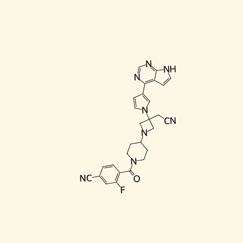 N#CCC1(n2ccc(-c3ncnc4[nH]ccc34)c2)CN(C2CCN(C(=O)c3ccc(C#N)cc3F)CC2)C1